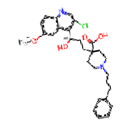 COc1ccc2ncc(Cl)c([C@H](O)CCC3(C(=O)O)CCN(CCCc4ccccc4)CC3)c2c1